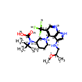 CO[C@H](C)CNc1c[nH]c2ncc(C(F)(F)F)c(N3CCC[C@@H](N(C(=O)O)C(C)(C)C)C3)c12